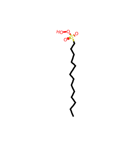 CCCCCCCCCCCCCS(=O)(=O)OO